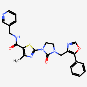 Cc1nc(N2CCN(Cc3ncoc3-c3ccccc3)C2=O)sc1C(=O)NCc1cccnc1